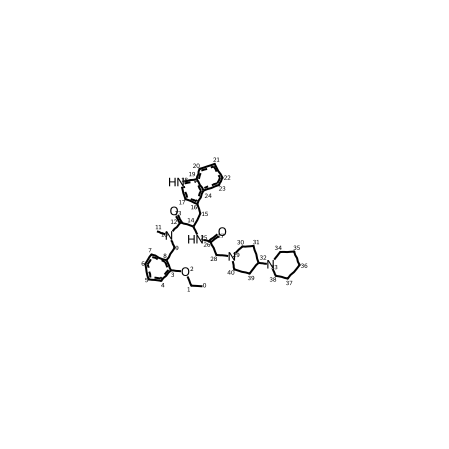 CCOc1ccccc1CN(C)C(=O)C(Cc1c[nH]c2ccccc12)NC(=O)CN1CCC(N2CCCCC2)CC1